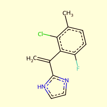 C=C(c1ncc[nH]1)c1c(F)ccc(C)c1Cl